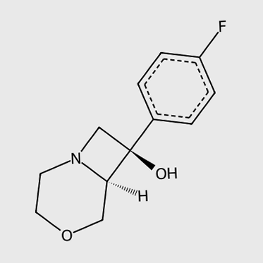 O[C@]1(c2ccc(F)cc2)CN2CCOC[C@@H]21